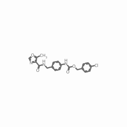 Cc1ocnc1C(=O)NCc1ccc(NC(=O)OCc2ccc(Cl)cc2)cc1